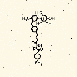 Cc1ccc([C@H]2[C@H](O)[C@H](O)[C@H](O)C[SH]2C)cc1Cc1ccc(CCCC(=O)NC2(C(=O)N3CCN(C)CC3)CC2)cc1